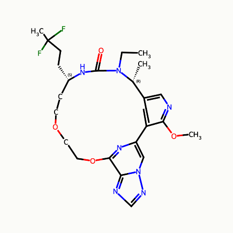 CCN1C(=O)N[C@@H](CCC(C)(F)F)CCOCCOc2nc(cn3ncnc23)-c2cc(cnc2OC)[C@H]1C